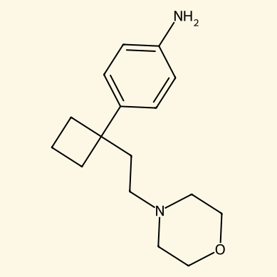 Nc1ccc(C2(CCN3CCOCC3)CCC2)cc1